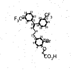 O=C(O)COc1ccc(SCC=C(c2cccc(C(F)(F)F)c2)c2cccc(C(F)(F)F)c2)cc1Br